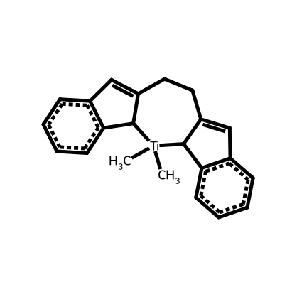 [CH3][Ti]1([CH3])[CH]2C(=Cc3ccccc32)CCC2=Cc3ccccc3[CH]21